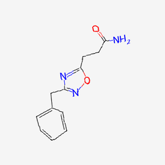 NC(=O)CCc1nc(Cc2ccccc2)no1